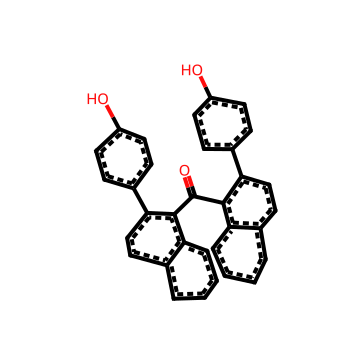 O=C(c1c(-c2ccc(O)cc2)ccc2ccccc12)c1c(-c2ccc(O)cc2)ccc2ccccc12